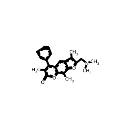 Cc1c(-c2cc#ccc2)c2cc3c(C)c(CN(C)C)oc3c(C)c2oc1=O